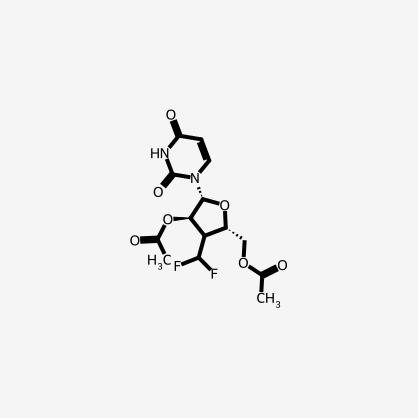 CC(=O)OC[C@H]1O[C@@H](n2ccc(=O)[nH]c2=O)[C@H](OC(C)=O)C1C(F)F